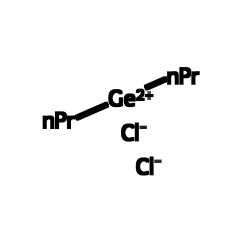 CC[CH2][Ge+2][CH2]CC.[Cl-].[Cl-]